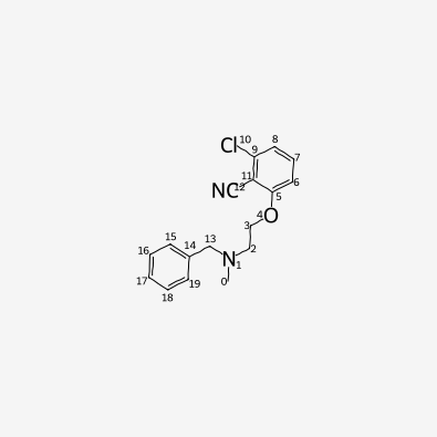 CN(CCOc1cccc(Cl)c1C#N)Cc1ccccc1